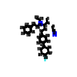 CC#N.CCC(CCc1ccc(C2CCC(F)CC2)cc1)N(CC)CCc1ccccc1